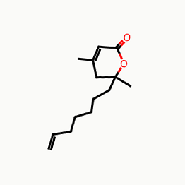 C=CCCCCCC1(C)CC(C)=CC(=O)O1